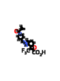 O=C(O)c1oc2c(c1C(F)(F)F)-c1nn(CC3CCN(C(=O)C4CC4)CC3)cc1CC2